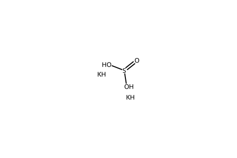 O=S(O)O.[KH].[KH]